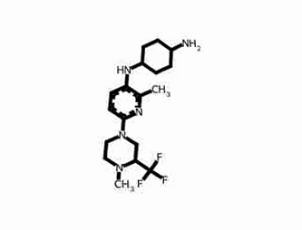 Cc1nc(N2CCN(C)C(C(F)(F)F)C2)ccc1NC1CCC(N)CC1